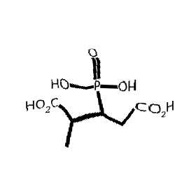 CC(C(=O)O)C(CC(=O)O)P(=O)(O)O